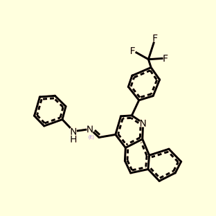 FC(F)(F)c1ccc(-c2cc(/C=N/Nc3ccccc3)c3ccc4ccccc4c3n2)cc1